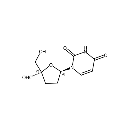 O=C[C@@]1(CO)CC[C@H](n2ccc(=O)[nH]c2=O)O1